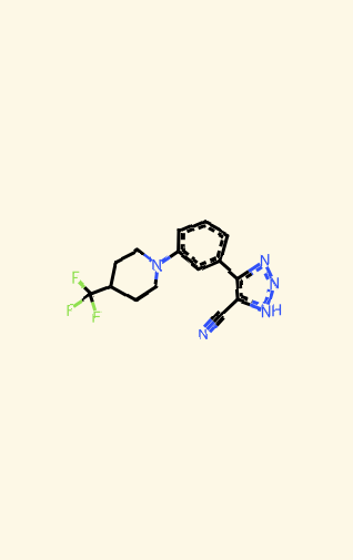 N#Cc1[nH]nnc1-c1cccc(N2CCC(C(F)(F)F)CC2)c1